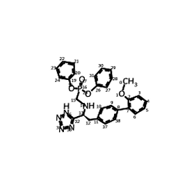 COc1ccccc1-c1ccc(C[C@H](NCP(=O)(Oc2ccccc2)Oc2ccccc2)c2nnn[nH]2)cc1